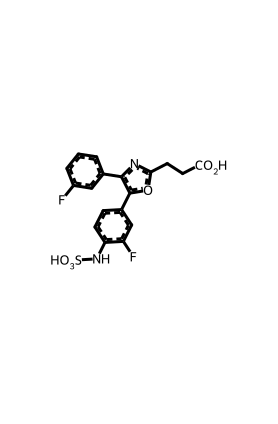 O=C(O)CCc1nc(-c2cccc(F)c2)c(-c2ccc(NS(=O)(=O)O)c(F)c2)o1